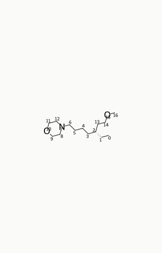 CC[C@H](CCCCN1CCOCC1)CCOC